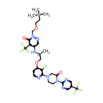 C[C@@H](COc1ccnc(N2CCN(c3ncc(C(F)(F)F)cn3)C(=O)C2)c1F)Nc1cnn(COCC[Si](C)(C)C)c(=O)c1C(F)(F)F